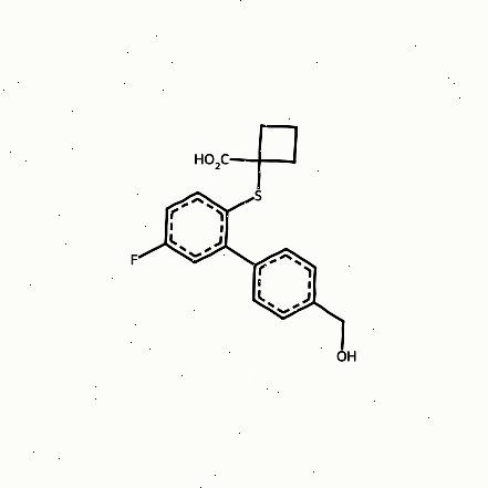 O=C(O)C1(Sc2ccc(F)cc2-c2ccc(CO)cc2)CCC1